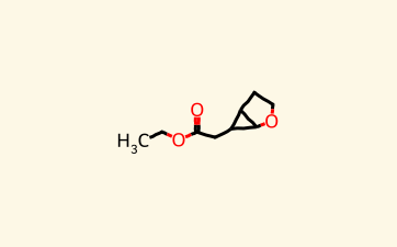 CCOC(=O)CC1C2CCOC21